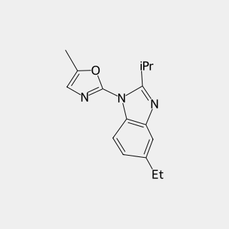 CCc1ccc2c(c1)nc(C(C)C)n2-c1ncc(C)o1